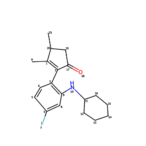 CC1=C(c2ccc(F)cc2NC2CCCCC2)C(=O)CC1C